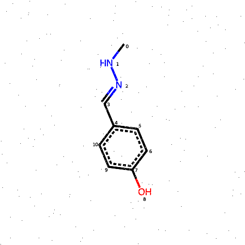 CNN=Cc1ccc(O)cc1